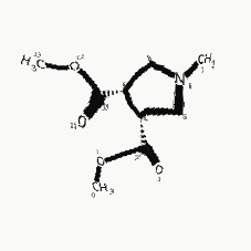 COC(=O)[C@H]1CN(C)C[C@H]1C(=O)OC